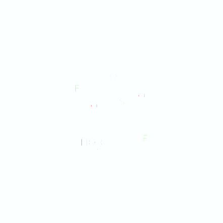 O=C(O)C(F)S(=O)(=O)OF